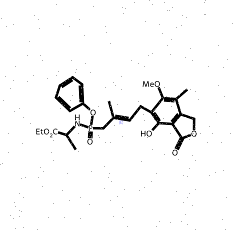 CCOC(=O)C(C)NP(=O)(C/C(C)=C/Cc1c(O)c2c(c(C)c1OC)COC2=O)Oc1ccccc1